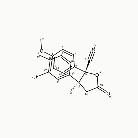 COc1ccc([C@]2(C#N)OC(=O)C[C@@]2(C)c2ccc(C)c(F)c2)cc1